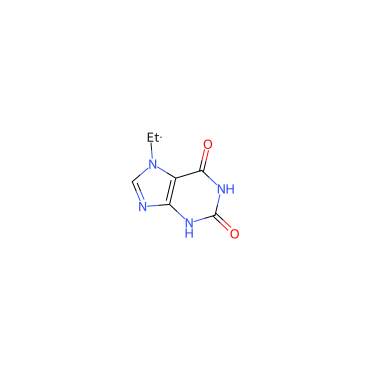 C[CH]n1cnc2[nH]c(=O)[nH]c(=O)c21